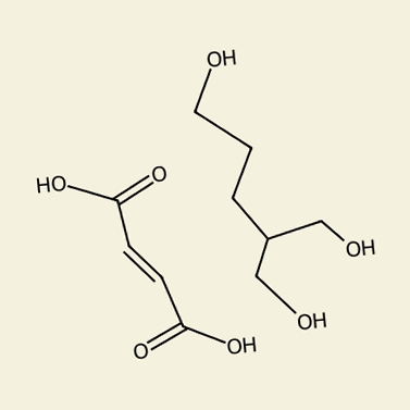 O=C(O)C=CC(=O)O.OCCCC(CO)CO